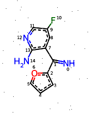 N=C(c1ccco1)c1cc(F)cnc1N